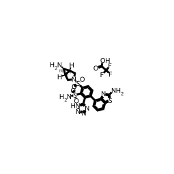 Nc1nc2c(-c3ccc(S(=O)(=O)N4C[C@@H]5[C@@H](N)[C@@H]5C4)c(S(N)(=O)=O)c3-c3nnn[nH]3)cccc2s1.O=C(O)C(F)(F)F